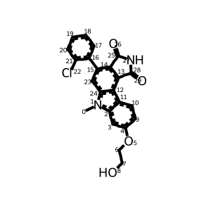 Cn1c2cc(OCCO)ccc2c2c3c(c(-c4ccccc4Cl)cc21)C(=O)NC3=O